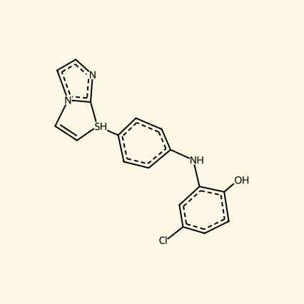 Oc1ccc(Cl)cc1Nc1ccc([SH]2C=Cn3ccnc32)cc1